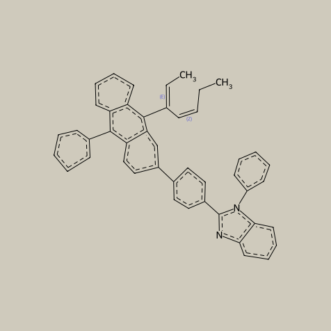 C/C=C(\C=C/CC)c1c2ccccc2c(-c2ccccc2)c2ccc(-c3ccc(-c4nc5ccccc5n4-c4ccccc4)cc3)cc12